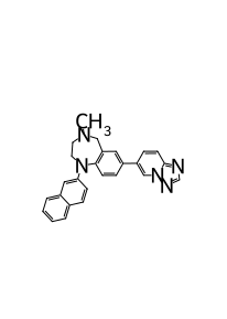 CN1CCN(c2ccc3ccccc3c2)c2ccc(-c3ccc4ncnn4c3)cc2C1